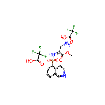 COC(=O)[C@H](CN)NS(=O)(=O)c1cccc2cnccc12.O=C(O)C(F)(F)F.O=C(O)C(F)(F)F